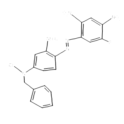 CCN(Cc1ccccc1)c1ccc(/N=N/c2cc(F)c([N+](=O)[O-])cc2[N+](=O)[O-])c(NC(C)=O)c1